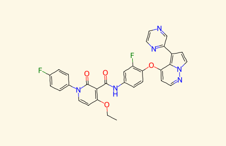 CCOc1ccn(-c2ccc(F)cc2)c(=O)c1C(=O)Nc1ccc(Oc2ccnn3ccc(-c4cnccn4)c23)c(F)c1